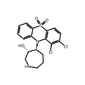 O=S1(=O)c2ccccc2N([C@H]2CCCNC[C@@H]2O)c2c1ccc(Cl)c2Cl